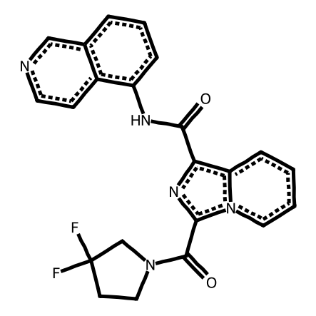 O=C(Nc1cccc2cnccc12)c1nc(C(=O)N2CCC(F)(F)C2)n2ccccc12